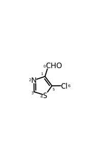 O=Cc1ncsc1Cl